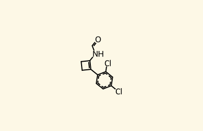 O=CNC1=C(c2ccc(Cl)cc2Cl)CC1